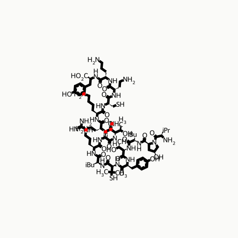 CC[C@H](C)[C@H](NC(=O)[C@@H](NC(=O)[C@H](Cc1ccc(O)cc1)NC(=O)[C@@H](NC(=O)[C@@H](NC(=O)[C@@H]1C[C@@H](O)CN1C(=O)[C@@H](N)C(C)C)[C@@H](C)CC)[C@@H](C)O)C(C)(C)S)C(=O)N[C@@H](CCCNC(=N)N)C(=O)N[C@@H](CCN)C(=O)N[C@H](C(=O)N[C@H](CCN)C(=O)N[C@@H](CCCCN)C(=O)N[C@@H](CS)C(=O)N[C@@H](CCN)C(=O)N[C@@H](CCCN)C(=O)N[C@@H](Cc1ccc(O)cc1)C(=O)O)[C@@H](C)O